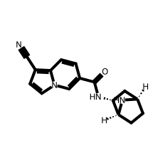 N#Cc1ccn2cc(C(=O)N[C@@H]3C[C@H]4CC[C@@H]3N4)ccc12